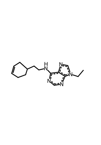 CCn1cnc2c(NCCC3CC=CCC3)ncnc21